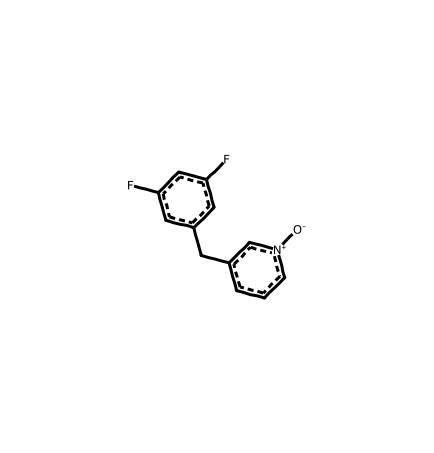 [O-][n+]1cccc(Cc2cc(F)cc(F)c2)c1